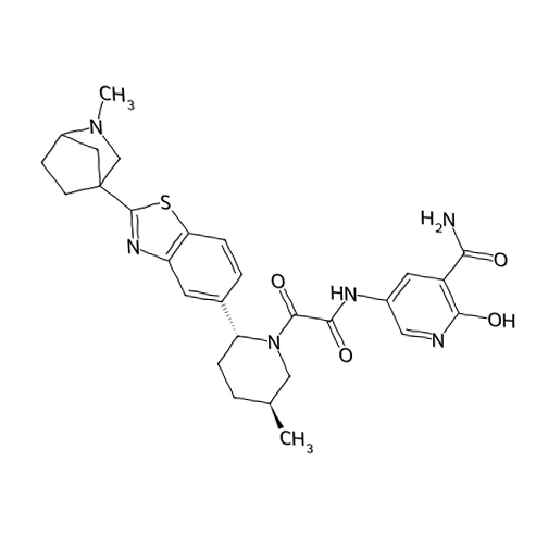 C[C@H]1CC[C@H](c2ccc3sc(C45CCC(C4)N(C)C5)nc3c2)N(C(=O)C(=O)Nc2cnc(O)c(C(N)=O)c2)C1